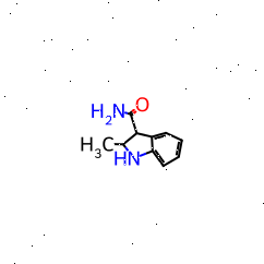 CC1Nc2ccccc2C1C(N)=O